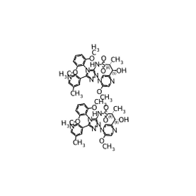 COc1cnc([C@@H](O)[C@@H](C)S(=O)(=O)Nc2nnc(-c3cncc(C)c3)n2-c2c(OC)cccc2OC)cn1.COc1cnc([C@H](O)[C@@H](C)S(=O)(=O)Nc2nnc(-c3cncc(C)c3)n2-c2c(OC)cccc2OC)cn1